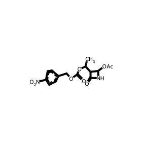 CC(=O)OC1NC(=O)C1C(C)OC(=O)OCc1ccc([N+](=O)[O-])cc1